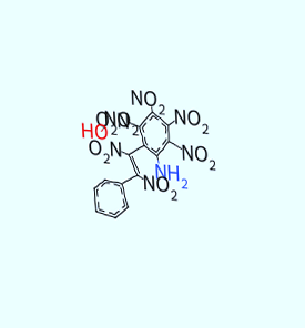 Nc1c(C(=C(c2ccccc2)[N+](=O)[O-])[N+](=O)[O-])c([N+](=O)[O-])c([N+](=O)[O-])c([N+](=O)[O-])c1[N+](=O)[O-].O=[N+]([O-])O